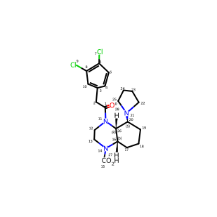 O=C(Cc1ccc(Cl)c(Cl)c1)N1CCN(C(=O)O)[C@H]2CCC[C@H](N3CCCC3)[C@H]21